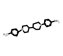 Cc1ccc(N2CCC(C3CCN(c4ccc(N)cc4)CC3)CC2)cc1